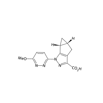 COc1ccc(-n2nc(C(=O)O)c3c2[C@@H]2C[C@@H]2C3)nn1